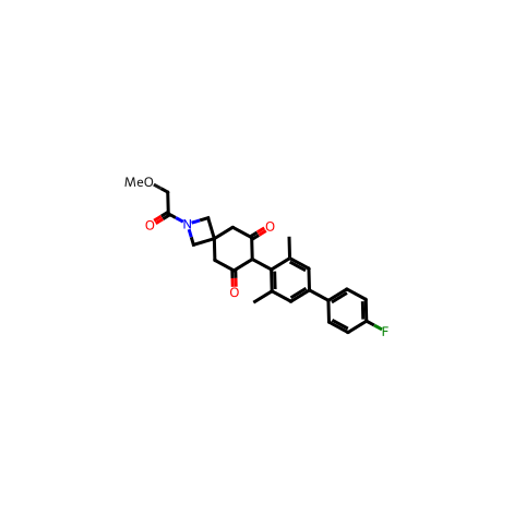 COCC(=O)N1CC2(CC(=O)C(c3c(C)cc(-c4ccc(F)cc4)cc3C)C(=O)C2)C1